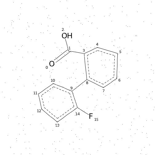 O=C(O)c1ccccc1-c1ccccc1F